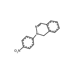 O=[N+]([O-])c1ccc(N2Cc3ccccc3C=N2)cc1